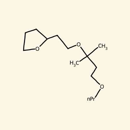 CCCOCCC(C)(C)OCCC1CCCO1